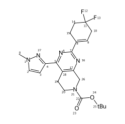 Cn1ccc(-c2nc(C3=CCC(F)(F)CC3)nc3c2CCN(C(=O)OC(C)(C)C)C3)n1